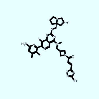 Cc1cc(N)nc(-c2ncc3c(N(C)CC4CN(C(=O)/C=C/c5nc(C(C)C)no5)C4)nc(OC[C@@]45CCCN4C[C@H](F)C5)nc3c2F)c1C